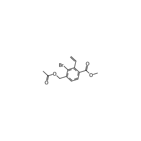 C=Cc1c(C(=O)OC)ccc(COC(C)=O)c1Br